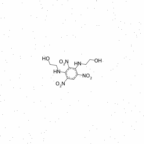 O=[N+]([O-])c1cc([N+](=O)[O-])c(NCCO)c([N+](=O)[O-])c1NCCO